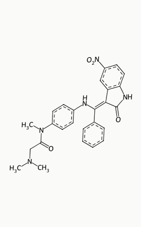 CN(C)CC(=O)N(C)c1ccc(NC(=C2C(=O)Nc3ccc([N+](=O)[O-])cc32)c2ccccc2)cc1